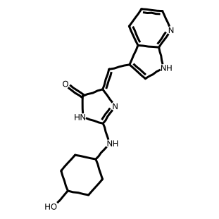 O=C1NC(NC2CCC(O)CC2)=NC1=Cc1c[nH]c2ncccc12